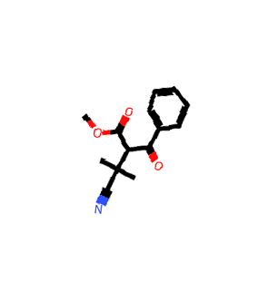 COC(=O)C(C(=O)c1ccccc1)C(C)(C)C#N